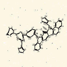 C1=CCC(c2nc(-c3ccccc3)nc(-c3cccc(-n4c5ccccc5c5cc6c7ccc8ccccc8c7n(C7=CCC=C7)c6cc54)c3)n2)=C1